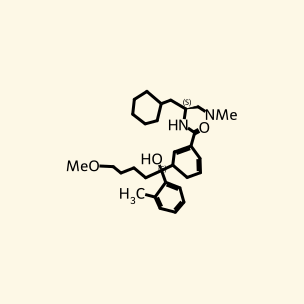 CNC[C@H](CC1CCCCC1)NC(=O)C1=CC([C@@](O)(CCCCOC)c2ccccc2C)CC=C1